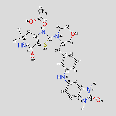 Cn1c(=O)n(C)c2cc(Nc3cccc(CC4COCCN4C4SC5=C(CC(C)(C)NC5=O)N4OC(=O)C(F)(F)F)c3)ccc21